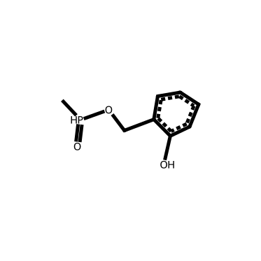 C[PH](=O)OCc1ccccc1O